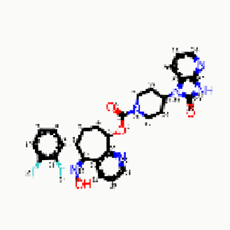 O=C(O[C@@H]1CC[C@@H](c2cccc(F)c2F)C(=NO)c2cccnc21)N1CCC(n2c(=O)[nH]c3ncccc32)CC1